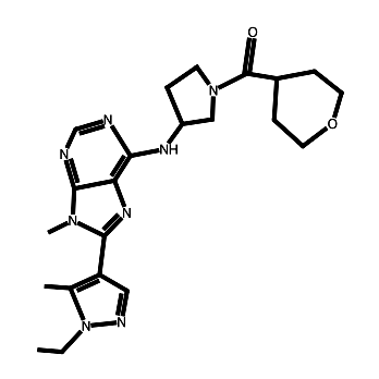 CCn1ncc(-c2nc3c(NC4CCN(C(=O)C5CCOCC5)C4)ncnc3n2C)c1C